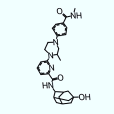 CNC(=O)c1ccc(N2CCN(c3cccc(C(=O)NC4C5CC6CC4CC(O)(C6)C5)n3)C(C)C2)cc1